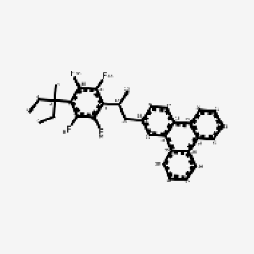 CCC(C)(CC)c1c(F)c(F)c(C(C)Cc2ccc3c4ccccc4c4ccccc4c3c2)c(F)c1F